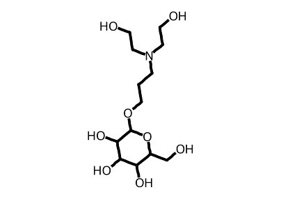 OCCN(CCO)CCCOC1OC(CO)C(O)C(O)C1O